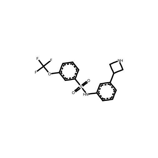 O=S(=O)(Nc1cccc(C2CNC2)c1)c1cccc(OC(F)(F)F)c1